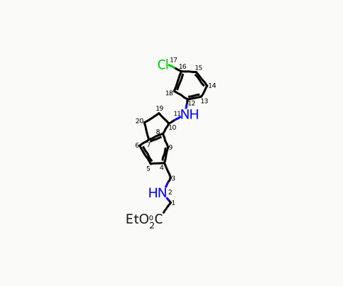 CCOC(=O)CNCc1ccc2c(c1)C(Nc1cccc(Cl)c1)CC2